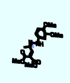 COC(=O)C(=C/C(C)=N\Nc1ccc(OC)c(OC)c1)C(=O)OC